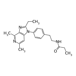 CCC(=O)NCCc1ccc(-n2c(CC)nc3c(C)nc(C)cc32)cc1